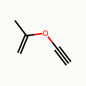 C#COC(=C)C